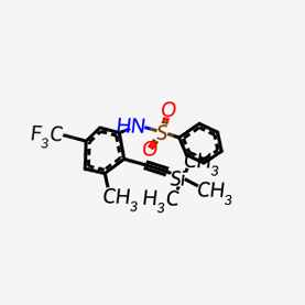 Cc1cc(C(F)(F)F)cc(NS(=O)(=O)c2ccccc2)c1C#C[Si](C)(C)C